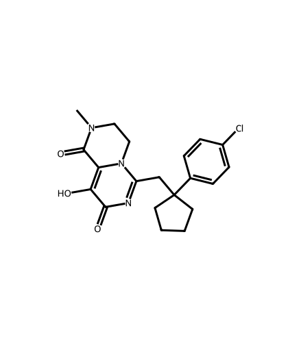 CN1CCn2c(CC3(c4ccc(Cl)cc4)CCCC3)nc(=O)c(O)c2C1=O